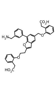 NCc1cccc(-c2cc(COc3ccccc3CC(=O)O)cc3cc(CCOc4ccccc4CC(=O)O)oc23)c1